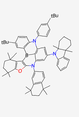 CC(C)(C)c1ccc(N2c3ccc(C(C)(C)C)cc3B3c4c2cc(N2c5ccccc5C5(C)CCCCC25C)cc4N(c2ccc4c(c2)C(C)(C)CCC4(C)C)c2oc4c(c23)C(C)(C)CCC4(C)C)cc1